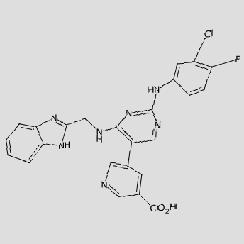 O=C(O)c1cncc(-c2cnc(Nc3ccc(F)c(Cl)c3)nc2NCc2nc3ccccc3[nH]2)c1